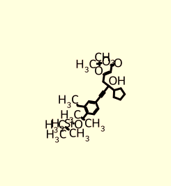 CCc1cc(C#CC(O)(CC2=CC(=O)OC(C)(C)O2)C2CCCC2)ccc1C(C)(C)O[SiH2]C(C)(C)C